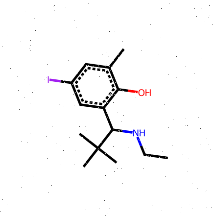 CCNC(c1cc(I)cc(C)c1O)C(C)(C)C